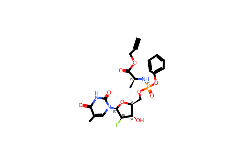 C#CCOC(=O)[C@H](C)N[P@](=O)(OC[C@@H]1O[C@H](n2cc(C)c(=O)[nH]c2=O)[C@H](F)[C@H]1O)Oc1ccccc1